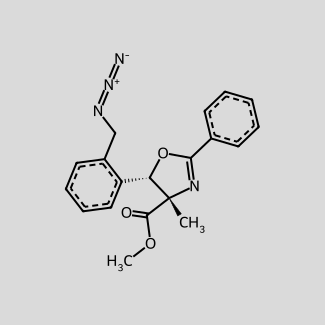 COC(=O)[C@@]1(C)N=C(c2ccccc2)O[C@H]1c1ccccc1CN=[N+]=[N-]